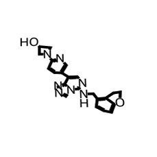 OC1CN(c2ccc(-c3cnc(NCc4cccc5c4CCO5)n4cnnc34)cn2)C1